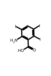 Nc1c(I)cc(I)c(I)c1C(=O)O